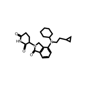 O=C1CCC(N2Cc3c(cccc3N(CCC3CC3)C3CCCCC3)C2=O)C(=O)N1